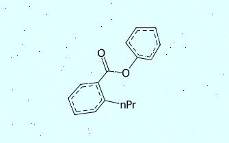 CCCc1ccccc1C(=O)Oc1ccccc1